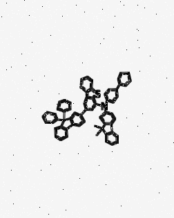 CC1(C)c2ccccc2-c2ccc(N(c3ccc(-c4ccccc4)cc3)c3cc(-c4ccc5c(c4)C(c4ccccc4)(c4ccccc4)c4ccccc4-5)cc4c3sc3ccccc34)cc21